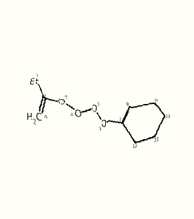 C=C(CC)OOOOC1CCCCC1